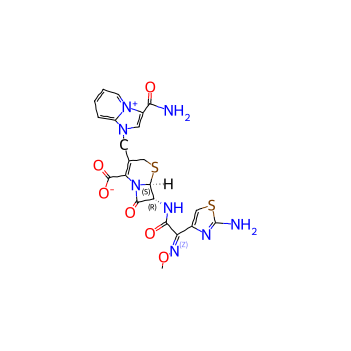 CO/N=C(\C(=O)N[C@@H]1C(=O)N2C(C(=O)[O-])=C(Cn3cc(C(N)=O)[n+]4ccccc34)CS[C@@H]12)c1csc(N)n1